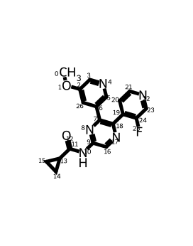 COc1cncc(-c2nc(NC(=O)C3CC3)cnc2-c2ccncc2F)c1